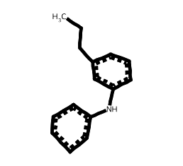 CCCc1cccc(Nc2ccccc2)c1